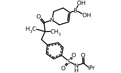 CC(C)C(=O)NS(=O)(=O)c1ccc(CC(C)(C)C(=O)N2CC=C(B(O)O)CC2)cc1